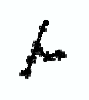 COC(=O)[C@H](CCCCNC(=O)c1cc(NC(=O)NCCOCCOCCNC(=O)OCc2ccccc2)cc(C(=O)NCCCC[C@H](NC(=O)CCCC[C@@H]2SC[C@@H]3NC(=N)N[C@@H]32)C(=O)OC)c1)NC(=O)CCCC[C@@H]1SC[C@@H]2NC(=N)N[C@@H]21